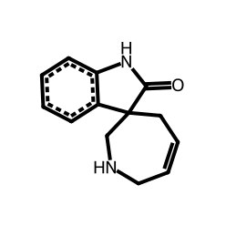 O=C1Nc2ccccc2C12CC=CCNC2